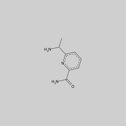 CC(N)c1cccc(C(N)=O)n1